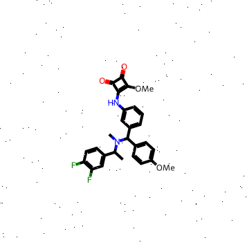 COc1ccc(C(c2cccc(Nc3c(OC)c(=O)c3=O)c2)N(C)C(C)c2ccc(F)c(F)c2)cc1